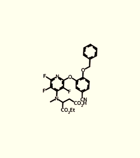 CCOC(=O)C(CC(=O)O)N(C)c1c(F)c(F)nc(Oc2cc(C#N)ccc2OCc2ccccc2)c1F